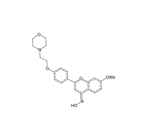 COc1ccc2c(=NO)cc(-c3ccc(OCCN4CCOCC4)cc3)oc2c1